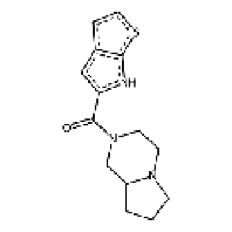 O=C(c1cc2ccsc2[nH]1)N1CCN2CCCC2C1